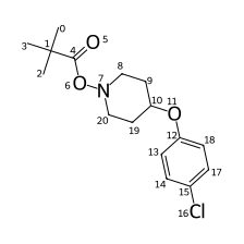 CC(C)(C)C(=O)ON1CCC(Oc2ccc(Cl)cc2)CC1